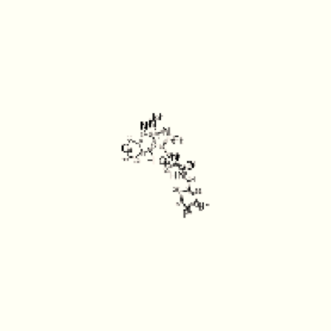 CCc1nc2c(cnn2CC)c(NC2CCOCC2)c1-c1nc(C(=O)NCc2ccc(F)c(Br)c2)co1